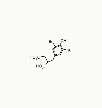 O=C(O)CC(Cc1cc(Br)c(O)c(Br)c1)C(=O)O